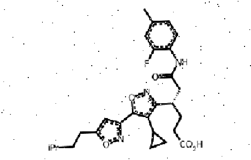 Cc1ccc(NC(=O)C[C@H](CCC(=O)O)c2noc(-c3cc(CCC(C)C)on3)c2C2CC2)c(F)c1